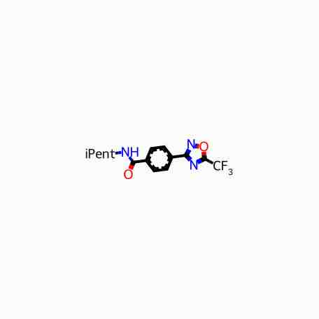 CCCC(C)NC(=O)c1ccc(-c2noc(C(F)(F)F)n2)cc1